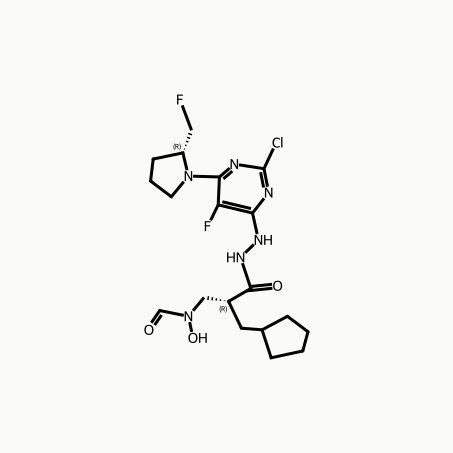 O=CN(O)C[C@@H](CC1CCCC1)C(=O)NNc1nc(Cl)nc(N2CCC[C@@H]2CF)c1F